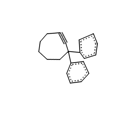 C1#CC(c2ccccc2)(c2ccccc2)CCCCC1